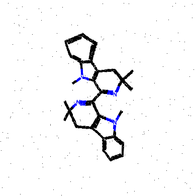 Cn1c2c(c3ccccc31)CC(C)(C)N=C2C1=NC(C)(C)Cc2c1n(C)c1ccccc21